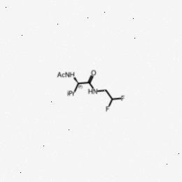 CC(=O)N[C@@H](C(=O)NCC(F)F)C(C)C